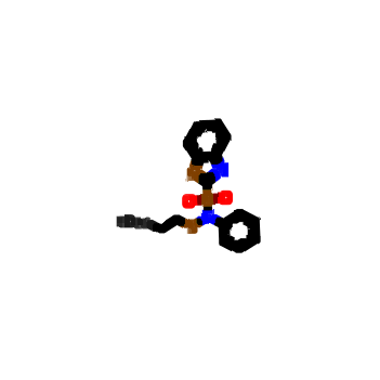 CCCCCCCCCCCCSN(c1ccccc1)S(=O)(=O)c1nc2ccccc2s1